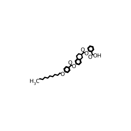 CCCCCCCCCCOc1ccc(C(=O)Oc2ccc3c(c2)CCC(C(=O)Oc2ccccc2C(=O)O)C3)cc1